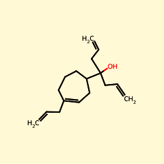 C=CCC1=CCC(C(O)(CC=C)CC=C)CCC1